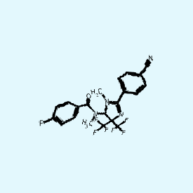 CN(C(=O)c1ccc(F)cc1)C1N(C)C(c2ccc(C#N)cc2)=NC1(C(F)(F)F)C(F)(F)F